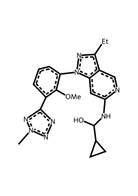 CCc1nn(-c2cccc(-c3nnn(C)n3)c2OC)c2cc(NC(O)C3CC3)ncc12